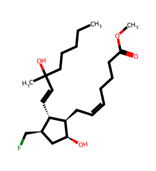 CCCCCC(C)(O)/C=C/[C@H]1[C@H](CF)C[C@H](O)[C@@H]1C/C=C\CCCC(=O)OC